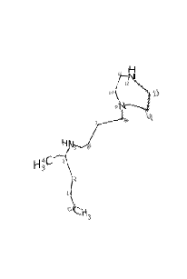 CCCC(C)NCCCN1CCNCC1